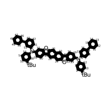 CC(C)(C)c1ccc(N(c2ccc(-c3ccccc3)cc2)c2ccc3c(c2)oc2cc4cc5c(cc4cc23)oc2cc(N(c3cccc(-c4ccccc4)c3)c3cccc(C(C)(C)C)c3)ccc25)cc1